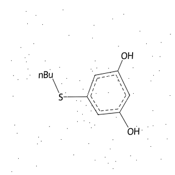 CCCCSc1cc(O)cc(O)c1